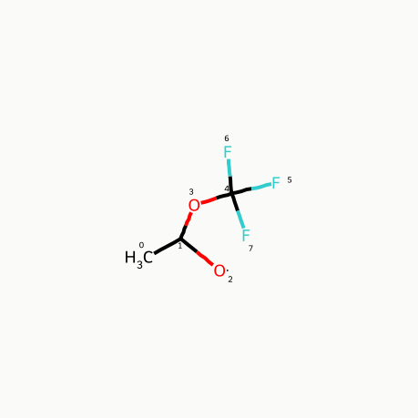 CC([O])OC(F)(F)F